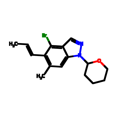 CC=Cc1c(C)cc2c(cnn2C2CCCCO2)c1Br